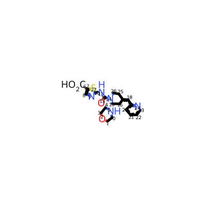 C1COCCN1.O=C(O)c1cnc(NC(=O)N2CCC(=Cc3ccccn3)CC2)s1